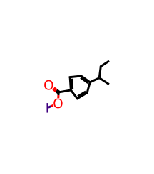 CCC(C)c1ccc(C(=O)OI)cc1